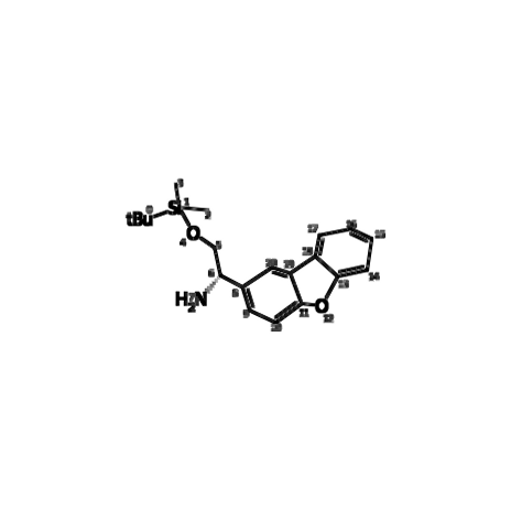 CC(C)(C)[Si](C)(C)OC[C@@H](N)c1ccc2oc3ccccc3c2c1